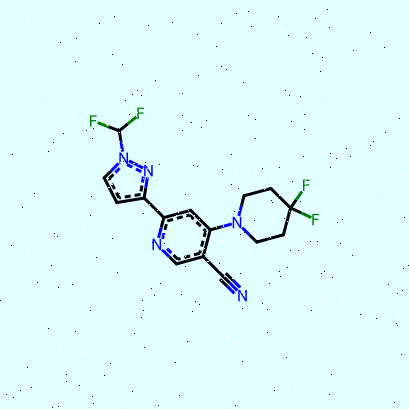 N#Cc1cnc(-c2ccn(C(F)F)n2)cc1N1CCC(F)(F)CC1